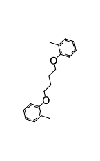 Cc1ccccc1OCCCCOc1ccccc1C